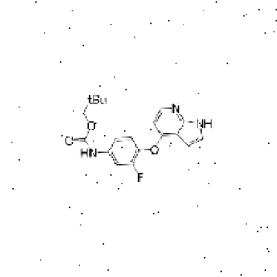 CC(C)(C)COC(=O)Nc1ccc(Oc2ccnc3[nH]ccc23)c(F)c1